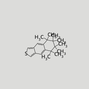 CC1(C)c2cc3cscc3cc2C(C)(C)C(C)(C)C1(C)C